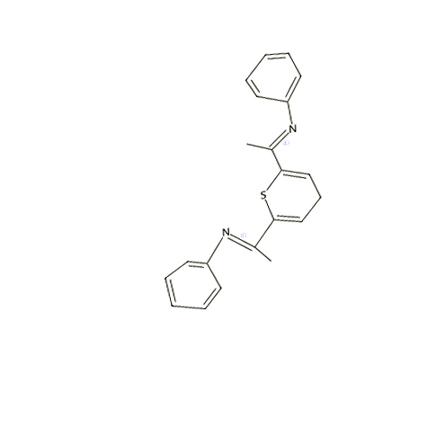 C/C(=N\c1ccccc1)C1=CCC=C(/C(C)=N/c2ccccc2)S1